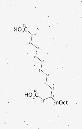 CCCCCCCCC(CCCCCCCCCC(=O)O)CC(=O)O